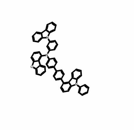 c1ccc(-n2c3ccccc3c3c(-c4ccc(-c5ccc(N(c6cccc(-n7c8ccccc8c8ccccc87)c6)c6cccc7oc8ccccc8c67)cc5)cc4)cccc32)cc1